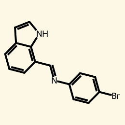 Brc1ccc(/N=C/c2cccc3cc[nH]c23)cc1